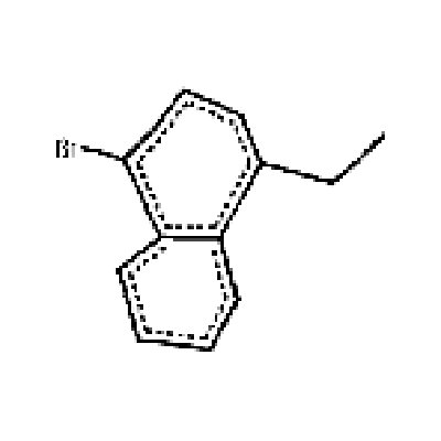 CCc1ccc(Br)c2ccccc12